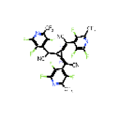 N#C/C(=C1\C(=C(\C#N)c2c(F)c(F)nc(C(F)(F)F)c2F)C1C(C#N)c1c(F)c(F)nc(C(F)(F)F)c1F)c1c(F)c(F)nc(C(F)(F)F)c1F